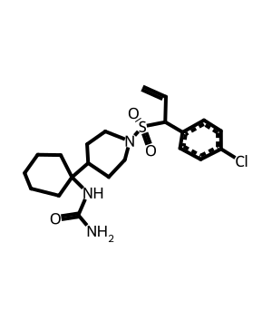 C=CC(c1ccc(Cl)cc1)S(=O)(=O)N1CCC(C2(NC(N)=O)CCCCC2)CC1